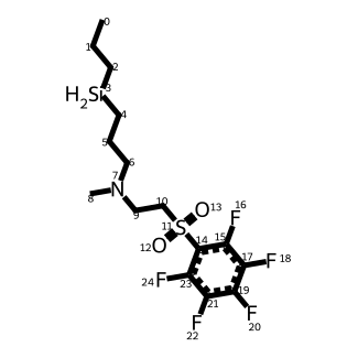 CCC[SiH2]CCCN(C)CCS(=O)(=O)c1c(F)c(F)c(F)c(F)c1F